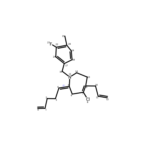 C=CCC/C=C1\CC(Cl)=C(CC=C)CCN1Cc1ccc(C)c(F)c1